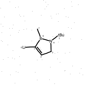 [Li][C]1=CCN(C(C)(C)C)B1C